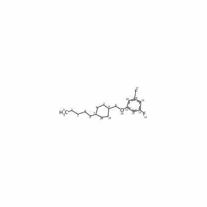 CCCCCC1CCC(COc2cc(F)cc(F)c2)CC1